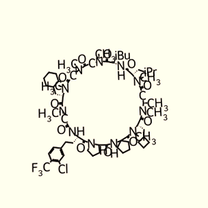 CC[C@H](C)[C@@H]1NC(=O)[C@H](CC(C)C)N(C)C(=O)C[C@@H](C)N(C)C(=O)[C@H](CC2CCC2)N(C)C(=O)C2(CCCC2)NC(=O)[C@@H]2CCCN2C(=O)[C@H](CCc2ccc(C(F)(F)F)c(Cl)c2)NC(=O)CN(C)C(=O)[C@H](CC2CCCCC2)N(C)C(=O)CN(C)C(=O)CN(C)C1=O